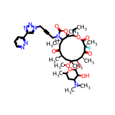 CC[C@H]1OC(=O)[C@@](C)(F)C(=O)[C@H](C)[C@@H](O[C@@H]2OC(C)CC(N(C)C)C2O)[C@](C)(OC)C[C@@H](C)C(=O)[C@H](C)[C@H]2N(CC#CCn3cc(-c4cccnn4)nn3)C(=O)O[C@]12C